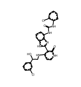 O=C(Nc1ccccc1Cl)Nc1cccc2[nH]c(-c3c(NCC(O)c4cccc(Cl)c4)cc[nH]c3=O)nc12